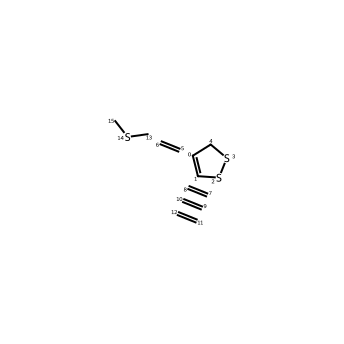 C1=CSSC1.C=C.C=C.C=C.C=C.CSC